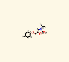 Cc1ccc(OCC2CN(C(C)C)C(=O)O2)cc1